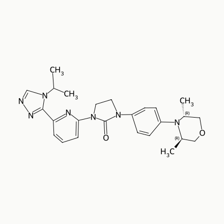 CC(C)n1cnnc1-c1cccc(N2CCN(c3ccc(N4[C@H](C)COC[C@H]4C)cc3)C2=O)n1